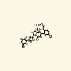 N/N=C\N(N)c1ccc(Cl)cc1-c1cc2n(c(=O)c1)[C@H](c1ncc(-c3cccc(Br)c3)[nH]1)CC2